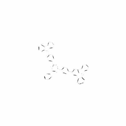 c1ccc(-c2nc(-c3ccc(-c4cc5c6ccccc6n6c7ccccc7c(c4)c56)cc3)nc(-c3ccc(-n4c5ccccc5c5ccccc54)cc3)n2)cc1